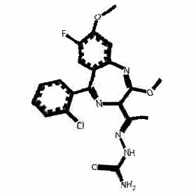 COC1=Nc2cc(OC)c(F)cc2C(c2ccccc2Cl)=NC1/C(C)=N/NC(N)=O